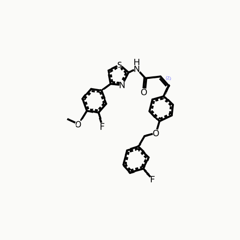 COc1ccc(-c2csc(NC(=O)/C=C\c3ccc(OCc4cccc(F)c4)cc3)n2)cc1F